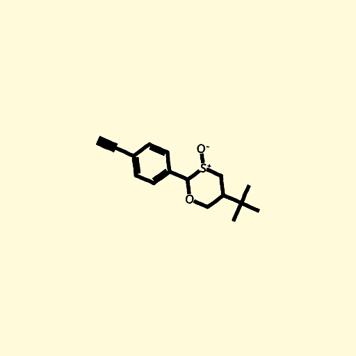 C#Cc1ccc(C2OCC(C(C)(C)C)C[S+]2[O-])cc1